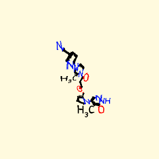 Cc1c(N2CCC[C@H]2COCCC(=O)N2CCN(c3ccc(C#N)cn3)C[C@H]2C)cn[nH]c1=O